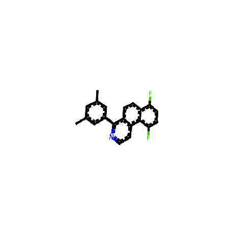 Cc1cc(C)cc(-c2nccc3c2ccc2c(F)ccc(F)c23)c1